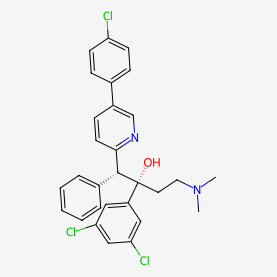 CN(C)CC[C@@](O)(c1cc(Cl)cc(Cl)c1)[C@H](c1ccccc1)c1ccc(-c2ccc(Cl)cc2)cn1